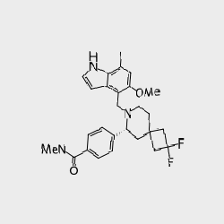 CNC(=O)c1ccc([C@H]2CC3(CCN2Cc2c(OC)cc(C)c4[nH]ccc24)CC(F)(F)C3)cc1